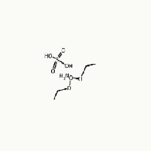 CCOOOCC.N.O=S(=O)(O)O